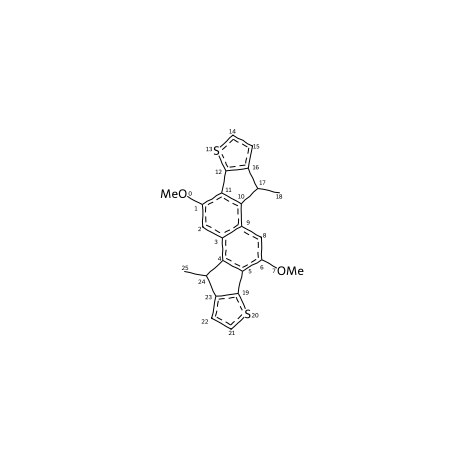 COc1cc2c3c(c(OC)cc2c2c1-c1sccc1C2C)-c1sccc1C3C